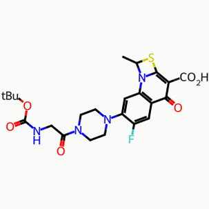 CC1Sc2c(C(=O)O)c(=O)c3cc(F)c(N4CCN(C(=O)CNC(=O)OC(C)(C)C)CC4)cc3n21